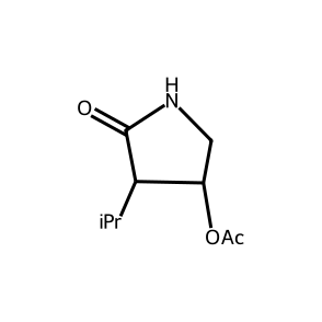 CC(=O)OC1CNC(=O)C1C(C)C